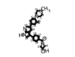 CN1CCN(c2ccc(-c3cnc4[nH]cc(-c5ccc(C(=O)N6CC(O)C6)cc5)c4c3)cc2F)CC1